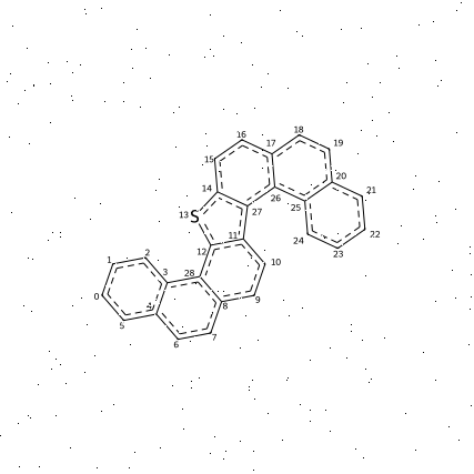 c1ccc2c(c1)ccc1ccc3c(sc4ccc5ccc6ccccc6c5c43)c12